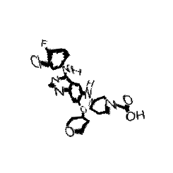 O=C(O)N1CCC[C@H](Nc2cc3c(Nc4ccc(F)c(Cl)c4)ncnc3cc2OC2CCOC2)C1